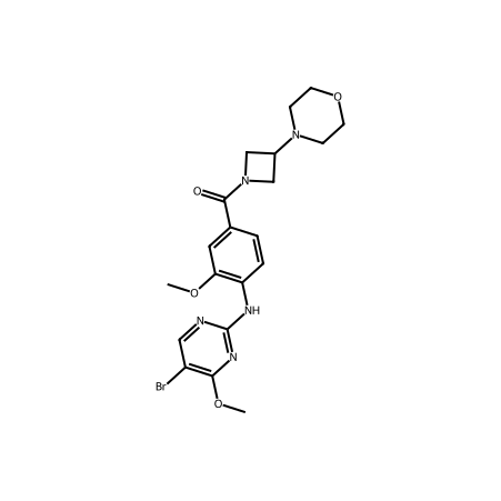 COc1cc(C(=O)N2CC(N3CCOCC3)C2)ccc1Nc1ncc(Br)c(OC)n1